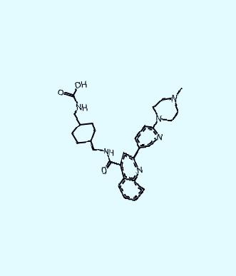 CN1CCN(c2ccc(-c3cc(C(=O)NCC4CCC(CNC(=O)O)CC4)c4ccccc4n3)cn2)CC1